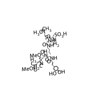 C=N/C(=C\C=C(/C)C(=O)OC)SC[C@H](NC(=O)[C@H](CCCCNC(=O)[C@H](CSCCN(C)C)NC(=O)[C@@H](N)CS(=O)(=O)O)NC(=O)/C=C/c1ccc(O)c(O)c1)C(=O)OC